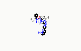 CCc1c(NCC(NC(=O)N[C@@H](C)c2ccccc2)C(=O)O)ncnc1N1CCC(c2ccc3c(n2)NCCC3)CC1